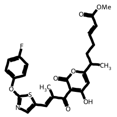 COC(=O)/C=C/CCC(C)c1cc(O)c(C(=O)/C(C)=C/c2cnc(Oc3ccc(F)cc3)s2)c(=O)o1